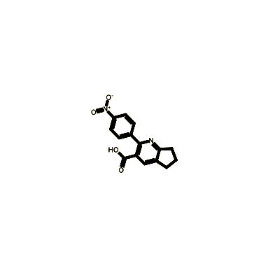 O=C(O)c1cc2c(nc1-c1ccc([N+](=O)[O-])cc1)CCC2